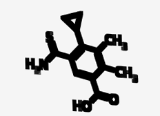 Cc1c(C(=O)O)cc(C(N)=S)c(C2CC2)c1C